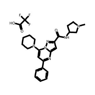 CN1CCC(NC(=O)c2cc3nc(-c4ccccc4)cc(N4CCCCC4)n3n2)C1.O=C(O)C(F)(F)F